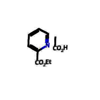 CC(=O)O.CCOC(=O)c1ccccn1